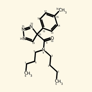 CCCCN(CCCC)C(=O)C1(c2ccc(C)cc2)C=NN=N1